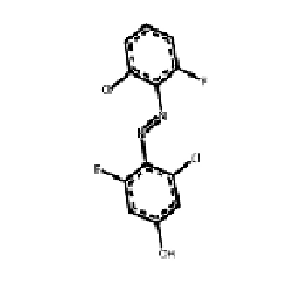 Oc1cc(F)c(N=Nc2c(F)cccc2Cl)c(Cl)c1